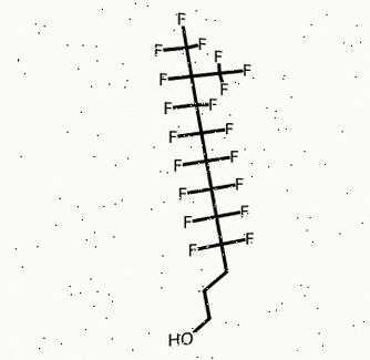 OC[CH]CC(F)(F)C(F)(F)C(F)(F)C(F)(F)C(F)(F)C(F)(F)C(F)(C(F)(F)F)C(F)(F)F